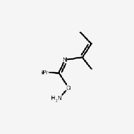 C/C=C(C)\N=C(/ON)C(C)C